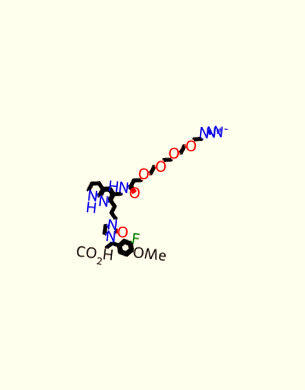 COc1ccc(C(CC(=O)O)N2CCN(CCCc3nc4c(cc3CNC(=O)CCOCCOCCOCCOCCN=[N+]=[N-])CCCN4)C2=O)cc1F